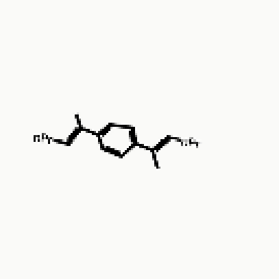 CCCC=C(C)c1ccc(C(C)=CCCC)cc1